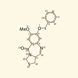 COc1cc2c(cc1OCc1ccccc1)N=CC1CSCN1C2=O